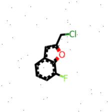 Fc1cccc2cc(CCl)oc12